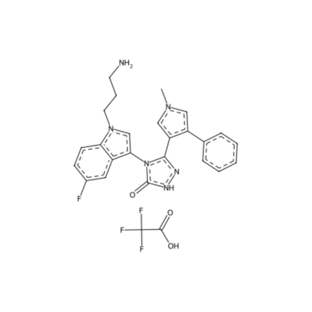 Cn1cc(-c2ccccc2)c(-c2n[nH]c(=O)n2-c2cn(CCCN)c3ccc(F)cc23)c1.O=C(O)C(F)(F)F